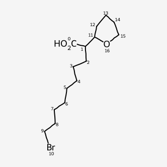 O=C(O)C(CCCCCCCCBr)C1CCCCO1